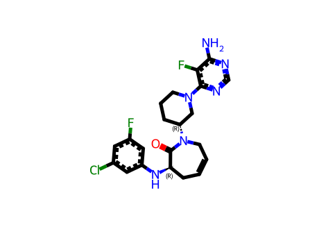 Nc1ncnc(N2CCC[C@@H](N3CC=CC[C@@H](Nc4cc(F)cc(Cl)c4)C3=O)C2)c1F